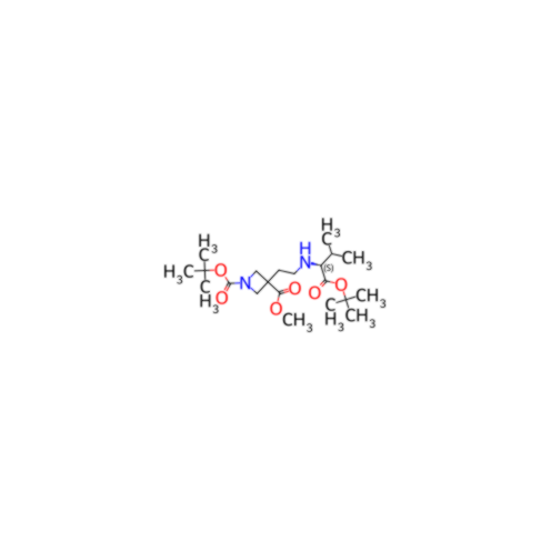 COC(=O)C1(CCN[C@H](C(=O)OC(C)(C)C)C(C)C)CN(C(=O)OC(C)(C)C)C1